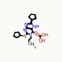 CCCn1c(SC2CCCC2)nc2nc(C3CCCC3)[nH]c2c1=O.O=C(O)O